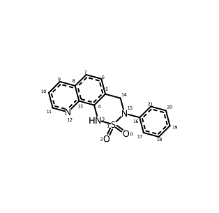 O=S1(=O)Nc2c(ccc3cccnc23)CN1c1ccccc1